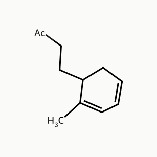 CC(=O)CCC1CC=CC=C1C